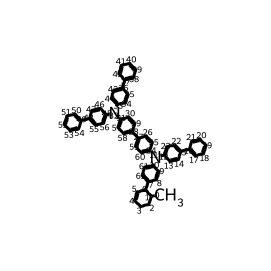 CC1CCC=CC1c1ccc(N(c2ccc(-c3ccccc3)cc2)c2ccc(-c3ccc(N(c4ccc(-c5ccccc5)cc4)c4ccc(-c5ccccc5)cc4)cc3)cc2)cc1